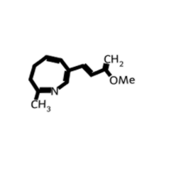 C=C(/C=C/C1=C/N=C(/C)CC/C=C\1)OC